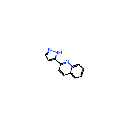 [c]1cc(-c2ccc3ccccc3n2)[nH]n1